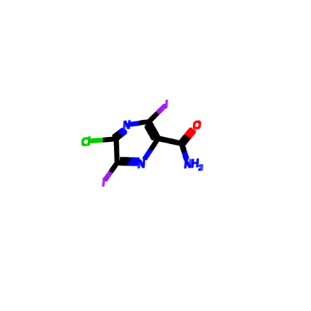 NC(=O)c1nc(I)c(Cl)nc1I